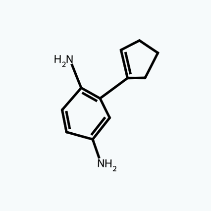 Nc1ccc(N)c(C2=CCCC2)c1